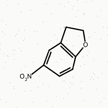 O=[N+]([O-])c1ccc2c(c1)[CH]CO2